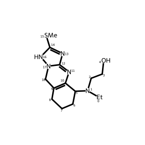 CCN(CCO)C1CCCC2=C1N=C1N=C(SC)NN1C2